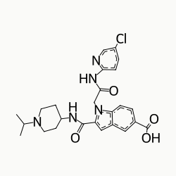 CC(C)N1CCC(NC(=O)c2cc3cc(C(=O)O)ccc3n2CC(=O)Nc2ccc(Cl)cn2)CC1